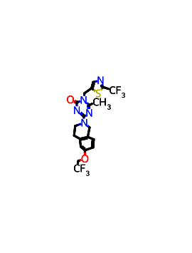 Cc1nc(N2CCc3cc(OCC(F)(F)F)ccc3C2)nc(=O)n1Cc1cnc(C(F)(F)F)s1